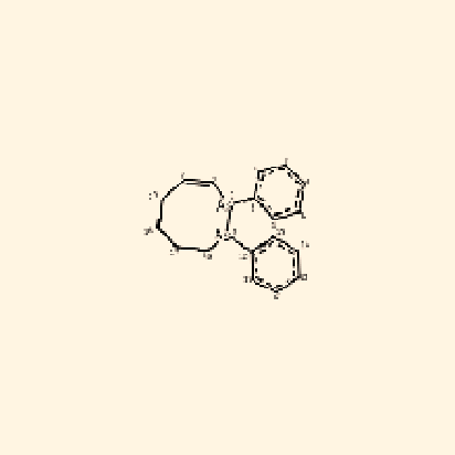 C1=C\[As](c2ccccc2)[As](c2ccccc2)CCCC/1